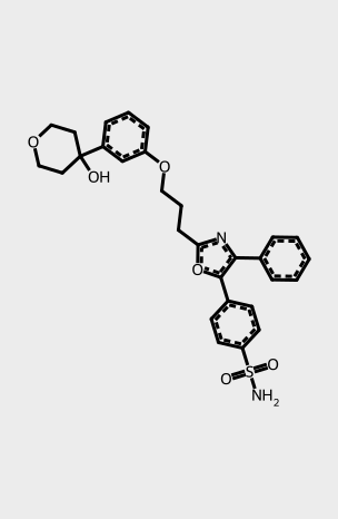 NS(=O)(=O)c1ccc(-c2oc(CCCOc3cccc(C4(O)CCOCC4)c3)nc2-c2ccccc2)cc1